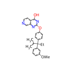 C=C(C)C(CC)(c1ccc(Oc2nc(O)c3ccncc3n2)cc1)c1cccc(OC)c1